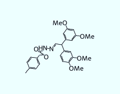 COc1cc(OC)cc(C(C=NNS(=O)(=O)c2ccc(C)cc2)c2ccc(OC)c(OC)c2)c1